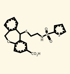 O=C(O)c1ccc2c(c1)C(SCCNS(=O)(=O)c1cccs1)c1ccccc1CO2